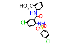 O=C(O)c1ccccc1NC(=O)c1cc(Cl)ccc1NS(=O)(=O)c1ccc(Cl)cc1